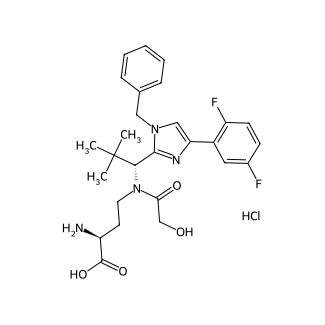 CC(C)(C)[C@H](c1nc(-c2cc(F)ccc2F)cn1Cc1ccccc1)N(CC[C@H](N)C(=O)O)C(=O)CO.Cl